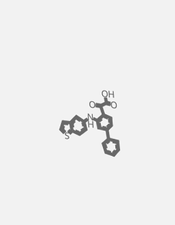 O=C(O)C(=O)c1ccc(-c2ccccc2)cc1Nc1ccc2sccc2c1